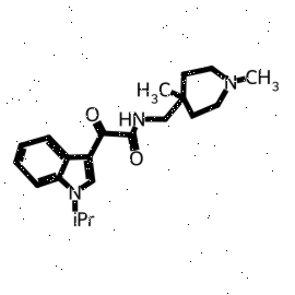 CC(C)n1cc(C(=O)C(=O)NCC2(C)CCN(C)CC2)c2ccccc21